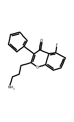 NCCCc1oc2cccc(F)c2c(=O)c1-c1ccccc1